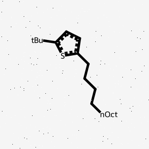 CCCCCCCCCCCCc1ccc(C(C)(C)C)s1